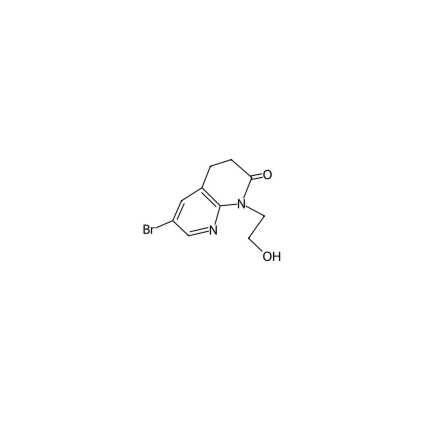 O=C1CCc2cc(Br)cnc2N1CCO